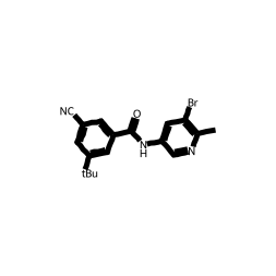 Cc1ncc(NC(=O)c2cc(C#N)cc(C(C)(C)C)c2)cc1Br